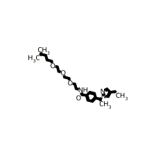 CCc1cnn(C(C)c2ccc(C(=O)NCCOCCOCCOCCCC(C)C)cc2)c1